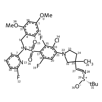 COc1ccc(CN(c2cccc(F)n2)S(=O)(=O)c2c(F)cc(N3CCC(C)(/C=N/[S@@+]([O-])C(C)(C)C)C3)c(Cl)c2F)c(OC)c1